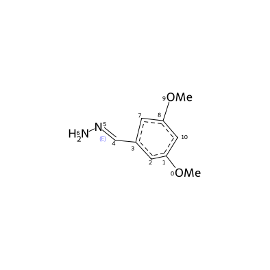 COc1cc(/C=N/N)cc(OC)c1